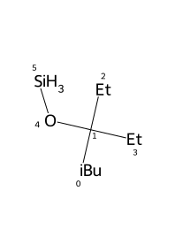 CCC(C)C(CC)(CC)O[SiH3]